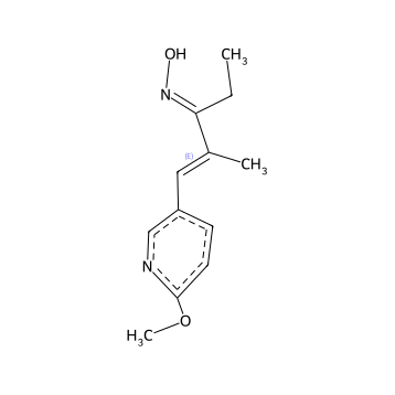 CCC(=NO)/C(C)=C/c1ccc(OC)nc1